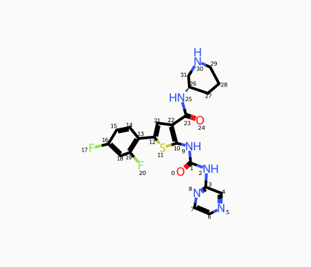 O=C(Nc1cnccn1)Nc1sc(-c2ccc(F)cc2F)cc1C(=O)N[C@H]1CCCNC1